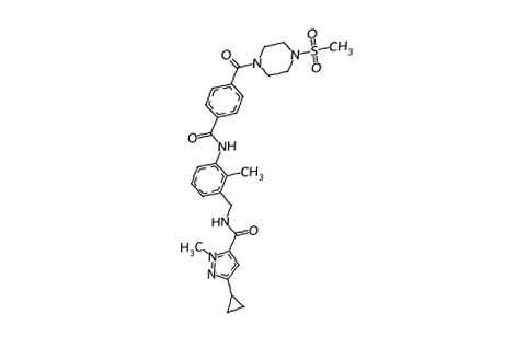 Cc1c(CNC(=O)c2cc(C3CC3)nn2C)cccc1NC(=O)c1ccc(C(=O)N2CCN(S(C)(=O)=O)CC2)cc1